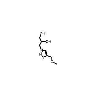 COCc1cn(CC(O)CO)nn1